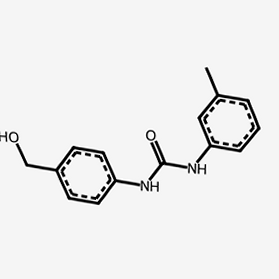 Cc1cccc(NC(=O)Nc2ccc(CO)cc2)c1